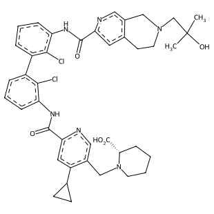 CC(C)(O)CN1CCc2cc(C(=O)Nc3cccc(-c4cccc(NC(=O)c5cc(C6CC6)c(CN6CCCC[C@H]6C(=O)O)cn5)c4Cl)c3Cl)ncc2C1